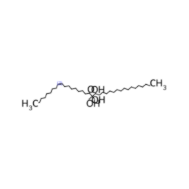 CCCCCCCC/C=C\CCCCCCCC(=O)C(O)(CO)C(O)CCCCCCCCCCCCCCCC